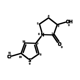 O=C1C(O)CCN1c1csc(Cl)c1